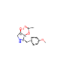 COc1ccc(C[C@H]2NC[C@@H](O)[C@H]2OC(C)=O)cc1